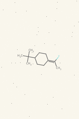 CC(F)=C1CCC(C(C)(C)C)CC1